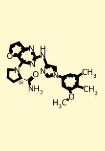 COc1cc(-n2cnc(Nc3nc(N4CCC[C@H]4C(N)=O)c4occc4n3)c2)cc(C)c1C